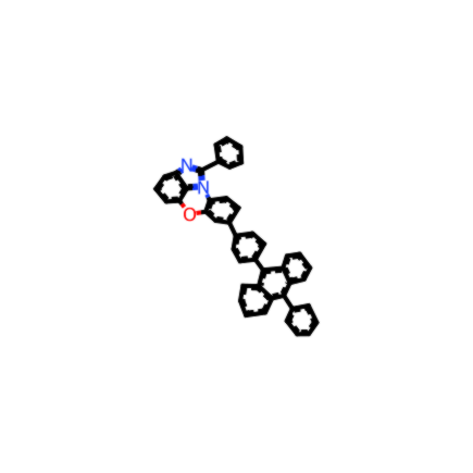 c1ccc(-c2c3ccccc3c(-c3ccc(-c4ccc5c(c4)Oc4cccc6nc(-c7ccccc7)n-5c46)cc3)c3ccccc23)cc1